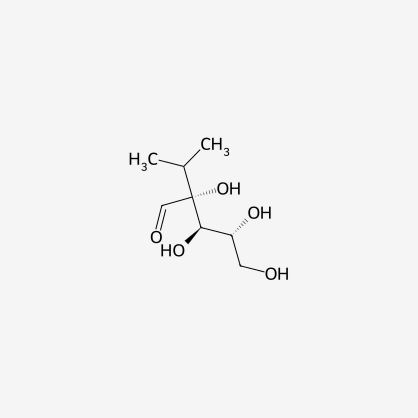 CC(C)[C@](O)(C=O)[C@H](O)[C@H](O)CO